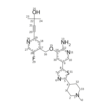 CN1CCC(c2ncc(-c3cnc(N)c(OCc4cc(C#CC(C)(C)O)ncc4F)c3)s2)CC1